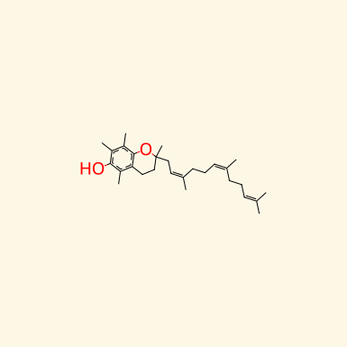 CC(C)=CCCC(C)=CCCC(C)=CCC1(C)CCc2c(C)c(O)c(C)c(C)c2O1